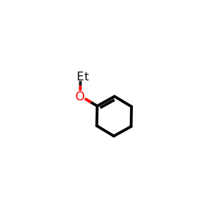 [CH2]COC1=CCCCC1